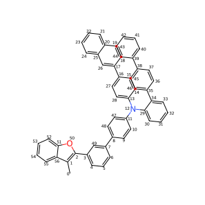 Cc1c(-c2cccc(-c3ccc(N(c4ccc(-c5ccc6ccccc6c5)cc4)c4ccccc4-c4ccc(-c5ccccc5)cc4)cc3)c2)oc2ccccc12